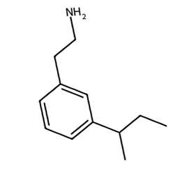 CCC(C)c1cccc(CCN)c1